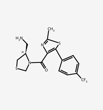 Cc1nc(C(=O)N2CSC[C@H]2CN)c(-c2ccc(C(F)(F)F)cc2)s1